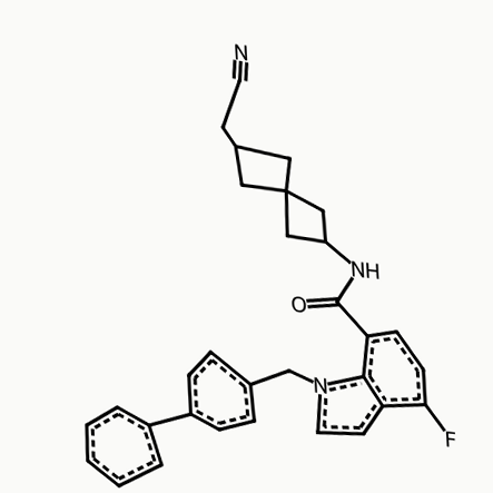 N#CCC1CC2(C1)CC(NC(=O)c1ccc(F)c3ccn(Cc4ccc(-c5ccccc5)cc4)c13)C2